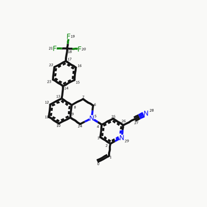 C=Cc1cc(N2CCc3c(cccc3-c3ccc(C(F)(F)F)cc3)C2)cc(C#N)n1